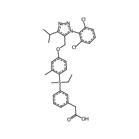 CCS(C)(c1cccc(CC(=O)O)c1)c1ccc(OCc2c(C(C)C)nnn2-c2c(Cl)cccc2Cl)cc1C